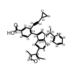 Cc1noc(C)c1-c1cnc2c(c1)c(-c1ccc(C(=O)O)cc1C#CC1CC1)cn2[C@@H](C)c1ccccn1